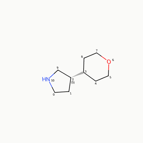 C1C[C@@H](C2CCOCC2)CN1